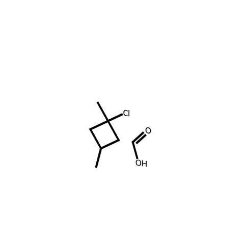 CC1CC(C)(Cl)C1.O=CO